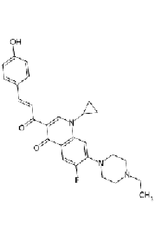 CCN1CCN(c2cc3c(cc2F)c(=O)c(C(=O)C=Cc2ccc(O)cc2)cn3C2CC2)CC1